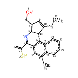 C=C(S)C1=NC2C(CO)C=C(COC)C2c2c1cc(C(C)(C)C)c1ccccc21